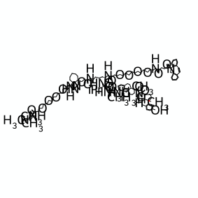 CC(C)[C@H](NC(=O)[C@@H](CCCCNC(=O)COC1CCCCC/C(NCCOCCOCCOCCOCCC(=O)NCC[N+](C)(C)C)=C\1N=N)NC(=O)CCOCCOCCOCCOCCNC(=O)CCC(=O)N1Cc2ccccc2C#Cc2ccccc21)C(=O)N[C@@H](C)C(=O)Nc1ccc2c(c1)[C@@]1(C)CCC[C@](C)(C(=O)NC(=O)[C@@]3(C)CCC[C@]4(C)c5cc(O)ccc5CC[C@@H]34)C1CC2